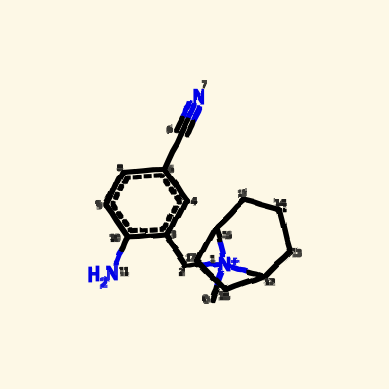 C[N+]1(Cc2cc(C#N)ccc2N)C2C[CH]CC1CC2